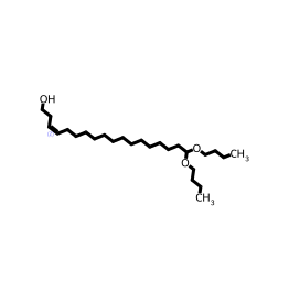 CCCCOC(CCCCCCCCCCCCC/C=C\CCO)OCCCC